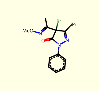 CON=C(C)C1(Br)C(=O)N(c2ccccc2)N=C1C(C)C